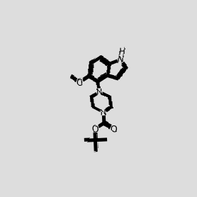 COc1ccc2[nH]ccc2c1N1CCN(C(=O)OC(C)(C)C)CC1